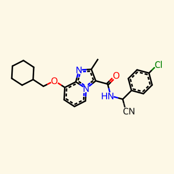 Cc1nc2c(OCC3CCCCC3)cccn2c1C(=O)NC(C#N)c1ccc(Cl)cc1